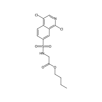 CCCCOC(=O)CNS(=O)(=O)c1ccc2c(Cl)cnc(Cl)c2c1